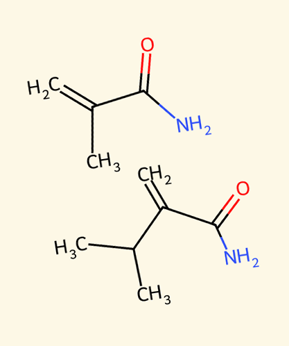 C=C(C(N)=O)C(C)C.C=C(C)C(N)=O